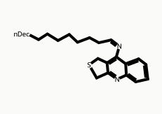 CCCCCCCCCCCCCCCCC/C=N\c1c2c(nc3ccccc13)CSC2